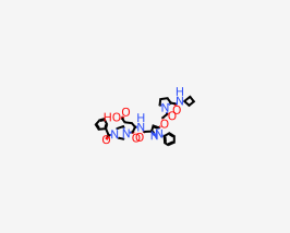 O=C(O)CCC(NC(=O)c1cc(OCC(=O)N2CCCC2C(=O)NC2CCC2)n(-c2ccccc2)n1)C(=O)N1CCN(C(=O)c2ccccc2)CC1